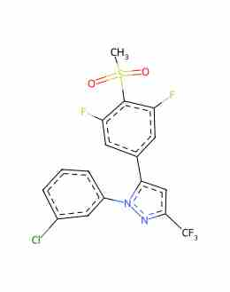 CS(=O)(=O)c1c(F)cc(-c2cc(C(F)(F)F)nn2-c2cccc(Cl)c2)cc1F